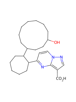 O=C(O)c1cnn2ccc(C3CCCCCC3C3CCCCCCCC(O)CC3)nc12